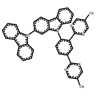 N#Cc1cnc(-c2ccc(-n3c4ccccc4c4ccc(-n5c6ccccc6c6ccccc65)cc43)c(-c3ncc(C#N)cn3)c2)nc1